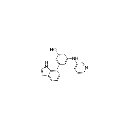 Oc1cc(Nc2cccnc2)cc(-c2cccc3cc[nH]c23)c1